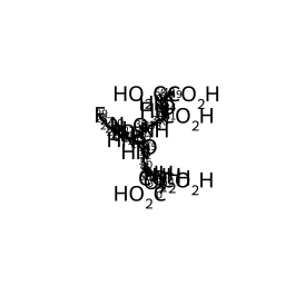 O=C(O)CCC(NC(=O)N[C@@H](CCCCNC(=O)c1cc(NC(=O)Cn2cc(CCCF)nn2)cc(C(=O)NCCCC[C@H](NC(=O)NC(CCC(=O)O)C(=O)O)C(=O)O)c1)C(=O)O)C(=O)O